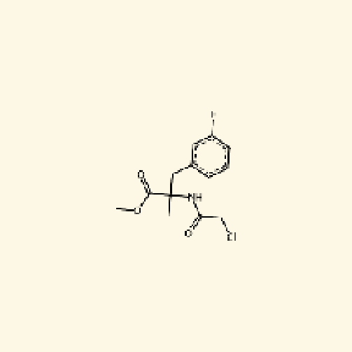 COC(=O)C(C)(Cc1cccc(F)c1)NC(=O)CCl